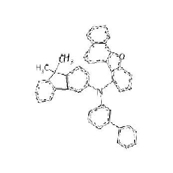 CC1(C)c2ccccc2-c2cc(N(c3cccc(-c4ccccc4)c3)c3cccc4oc5c6ccccc6ccc5c34)ccc21